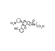 C[C@@H](NC(=O)c1cc2nc(N3CCCC(N)C3)n(Cc3ccccc3C#N)c(=O)c2s1)C(=O)O